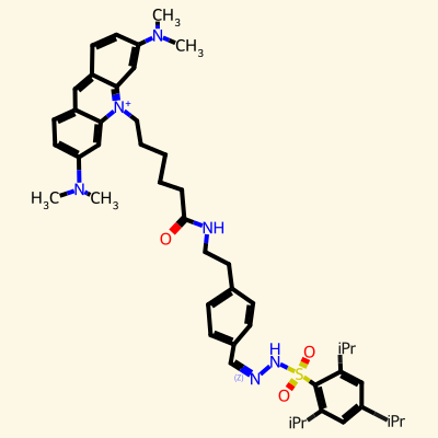 CC(C)c1cc(C(C)C)c(S(=O)(=O)N/N=C\c2ccc(CCNC(=O)CCCCC[n+]3c4cc(N(C)C)ccc4cc4ccc(N(C)C)cc43)cc2)c(C(C)C)c1